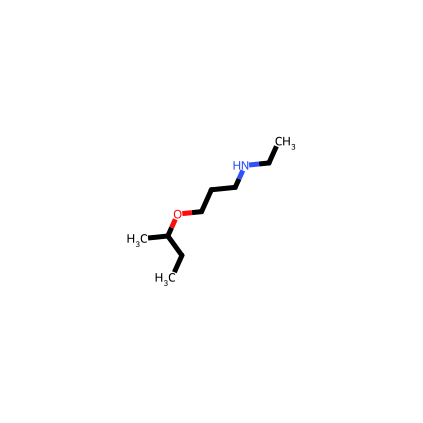 CCNCCCOC(C)CC